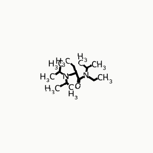 CCC(C(=O)N(CC)C(C)C)N(C(C)C)C(C)C